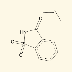 C=CC.O=C1NS(=O)(=O)c2ccccc21